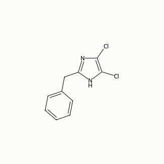 Clc1nc(Cc2ccccc2)[nH]c1Cl